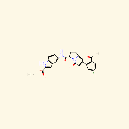 COC(=O)c1cc2cc(NC(=O)[C@@H]3CCc4cc(-c5cc(Cl)ccc5C(C)=O)cc(=O)n43)ccc2[nH]1